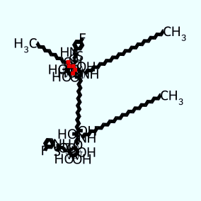 CCCCCCCCCCCCCCCCCCCCCCCCCCNC(CO[C@H]1O[C@H](COC(=S)Nc2cccc(F)c2)[C@H](O)[C@H](O)[C@H]1O)C(O)C(O)CCCCCCCCCCCCCCC(O[C@H]1O[C@H](COC(=S)Nc2ccc(F)cc2)[C@H](O)[C@H](O)[C@H]1O)[C@@H](NCCCCCCCCCCCCCCCCCCCCCCCCCC)[C@H](O)[C@H](O)CCCCCCCCCCCCCC